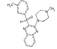 Cc1cccc(S(=O)(=O)c2nc3ccccc3nc2N2CCN(C)CC2)c1